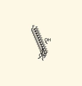 CCO.CCO[Si](OCC)(OCC)C(F)(F)C(F)(F)C(F)(F)C(F)(F)C(F)(F)C(F)(F)C(F)(F)C(F)(F)C(F)(F)C(F)(F)C(F)(F)C(F)(F)F